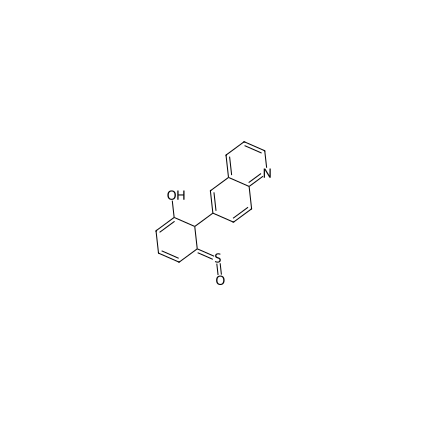 O=S=C1C=CC=C(O)C1c1ccc2ncccc2c1